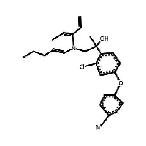 C=C/C(=C/C)N(/C=C/CCC)CC(C)(O)c1ccc(Oc2ccc(Br)cc2)cc1Cl